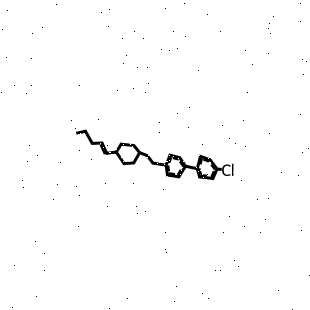 CCCC=CC1CCC(CCc2ccc(-c3ccc(Cl)cc3)cc2)CC1